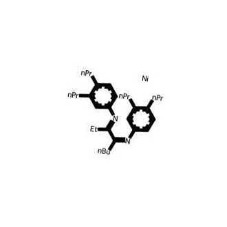 CCCCC(=Nc1ccc(CCC)c(CCC)c1)C(CC)=Nc1ccc(CCC)c(CCC)c1.[Ni]